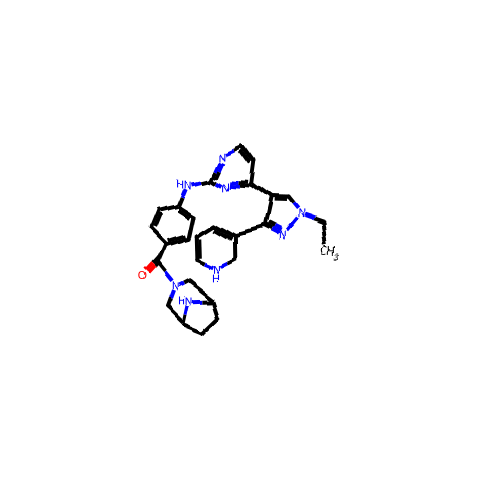 CCn1cc(-c2ccnc(Nc3ccc(C(=O)N4CC5CCC(C4)N5)cc3)n2)c(C2=CC=CNC2)n1